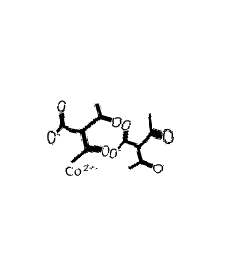 CC(=O)C(C(C)=O)C(=O)[O-].CC(=O)C(C(C)=O)C(=O)[O-].[Co+2]